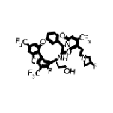 Cc1cc(C(F)(F)F)cc2c1-c1cc(c(F)c(C(F)(F)F)c1)[C@H](CCO)NC(=O)[C@@H](n1cc(CCN3CC(F)C3)c(C(F)(F)F)cc1=O)c1cccc(c1)O2